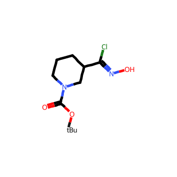 CC(C)(C)OC(=O)N1CCCC(C(Cl)=NO)C1